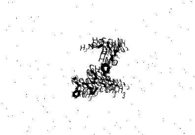 CC[C@H](C)[C@@H]([C@@H](CC(=O)N1CCC[C@H]1[C@H](OC)[C@@H](C)C(=O)N[C@@H](Cc1ccccc1)c1nccs1)OC)N(C)C(=O)[C@@H](NC(=O)[C@H](C(C)C)N(C)C(=O)OCc1ccc(NC(=O)[C@H](CCCNC(N)=O)NC(=O)[C@@H](NC(=O)CON)C(C)C)cc1)C(C)C